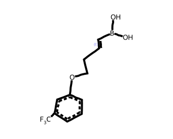 OB(O)/C=C/CCOc1cccc(C(F)(F)F)c1